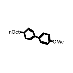 CCCCCCCCC1C=CC(c2ccc(OC)cc2)=CC1